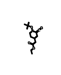 CCOC(=O)CC1CCN(OC(C)(C)C)C(=C=O)C1